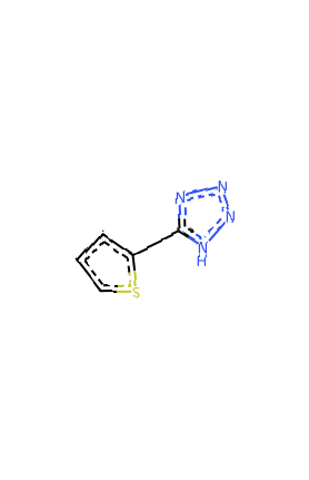 [c]1ccsc1-c1nnn[nH]1